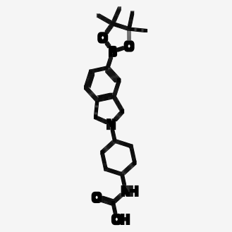 CC1(C)OB(c2ccc3c(c2)CN(C2CCC(NC(=O)O)CC2)C3)OC1(C)C